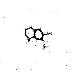 CC(C)Oc1cc2c(cc1C(C)C)CCCC2=O